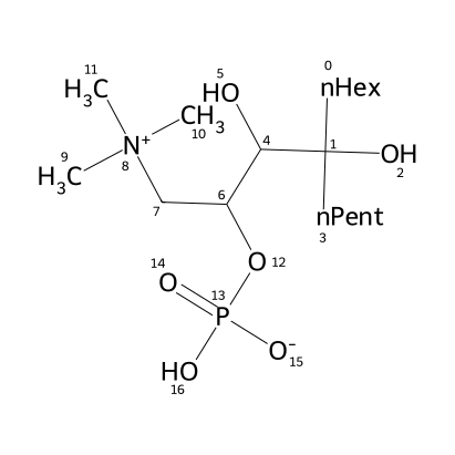 CCCCCCC(O)(CCCCC)C(O)C(C[N+](C)(C)C)OP(=O)([O-])O